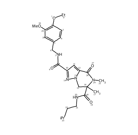 CCOc1ccc(CNC(=O)c2cc3n(n2)CC(C)(C(=O)NCCC(C)C)N(C)C3=O)cc1OC